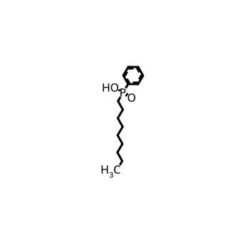 CCCCCCCCCP(=O)(O)c1ccccc1